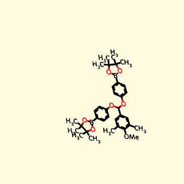 COc1c(C)cc(C(Oc2ccc(B3OC(C)(C)C(C)(C)O3)cc2)Oc2ccc(B3OC(C)(C)C(C)(C)O3)cc2)cc1C